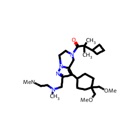 CNCCN(C)Cc1nn2c(c1C1CCC(COC)(COC)CC1)CN(C(=O)C(C)(C)C1CCC1)CC2